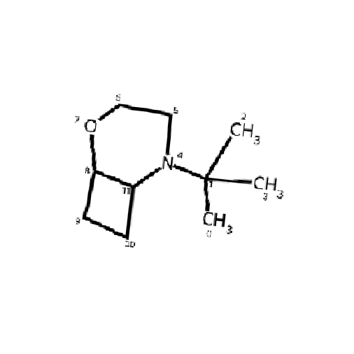 CC(C)(C)N1CCOC2CCC21